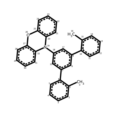 Cc1ccccc1-c1cc(-c2ccccc2C)cc(N2c3ccccc3Oc3ccccc32)c1